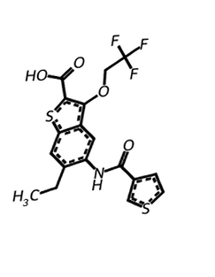 CCc1cc2sc(C(=O)O)c(OCC(F)(F)F)c2cc1NC(=O)c1ccsc1